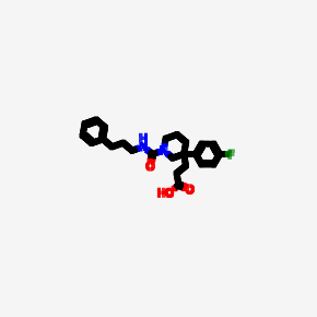 O=C(O)CCC1(c2ccc(F)cc2)CCCN(C(=O)NCCCc2ccccc2)C1